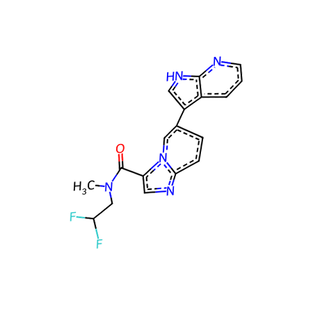 CN(CC(F)F)C(=O)c1cnc2ccc(-c3c[nH]c4ncccc34)cn12